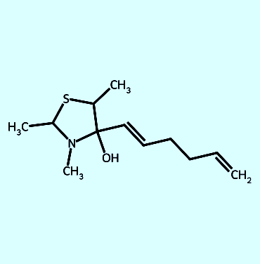 C=CCCC=CC1(O)C(C)SC(C)N1C